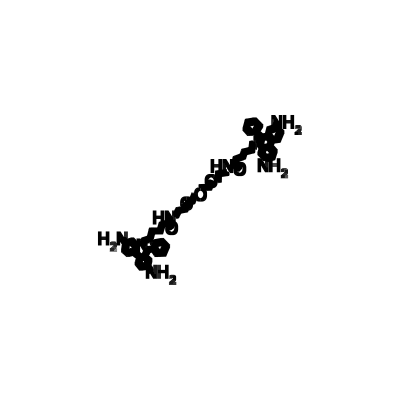 Nc1ccc2c(c1)c(-c1ccccc1)[n+](CCCCCC(=O)NCCCOCCOCCOCCCNC(=O)CCCCC[n+]1c(-c3ccccc3)c3cc(N)ccc3c3ccc(N)cc31)c1cc(N)ccc21